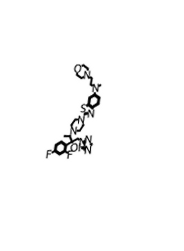 CC(N1CCN(c2nc3ccc(N(C)CCN4CCOCC4)cc3s2)CC1)C(O)(Cn1cncn1)c1ccc(F)cc1F